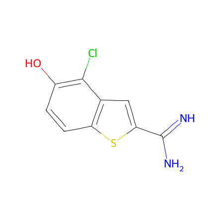 N=C(N)c1cc2c(Cl)c(O)ccc2s1